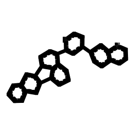 c1ccc2cc3c(cc2c1)-c1cccc2c(-c4cc(-c5ccc6cccnc6c5)ccn4)ccc-3c12